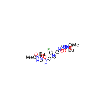 CC[C@H](C)[C@H](NC(=O)OC)C(=O)N1CCC[C@H]1C(=O)Nc1ccc([C@@H]2CC[C@@H](c3ccc(NC(=O)[C@@H]4CCCN4C(=O)[C@@H](NC(=O)OC)[C@@H](C)CC)cc3)N2c2ccc(F)cc2)cc1